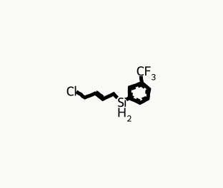 FC(F)(F)c1cccc([SiH2]CC=CCCl)c1